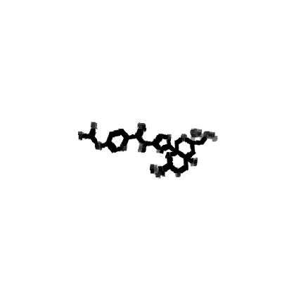 CC[C@@]1(C)C[C@@H]2CSC(N)=N[C@]2(c2nc(NC(=O)c3ccc(OC(F)F)cn3)cs2)CO1